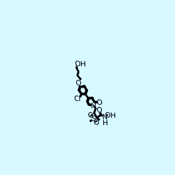 CC(CCn1ccc(-c2ccc(OCCCCO)cc2Cl)cc1=O)(C(=O)NO)S(C)(=O)=O